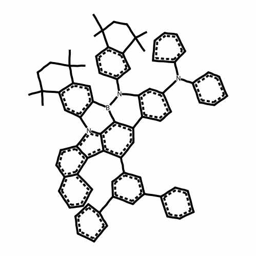 CC1(C)CCC(C)(C)c2cc(N3B4c5cc6c(cc5-n5c7ccc8ccccc8c7c7c(-c8cc(-c9ccccc9)cc(-c9ccccc9)c8)cc(c4c75)-c4ccc(N(c5ccccc5)c5ccccc5)cc43)C(C)(C)CCC6(C)C)ccc21